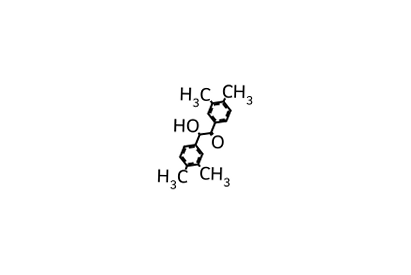 Cc1ccc(C(=O)C(O)c2ccc(C)c(C)c2)cc1C